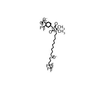 CC1(C)C(=O)N(c2ccc([N+](=O)[O-])c(C(F)(F)F)c2)C(=O)N1CCCCCCCCCC[S+]([O-])CCCC(F)(F)C(F)(F)F